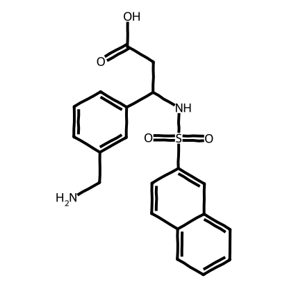 NCc1cccc(C(CC(=O)O)NS(=O)(=O)c2ccc3ccccc3c2)c1